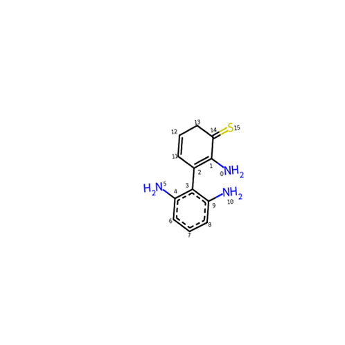 NC1=C(c2c(N)cccc2N)C=CCC1=S